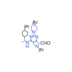 CC(=O)N1CCN(c2nc(NC(C)c3ccc(C(C)C)cc3)c3c(n2)[C@H](C=O)N(C(C)C)C3)CC1